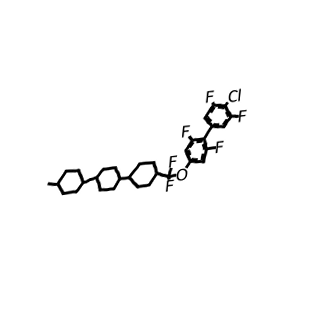 CC1CCC(C2CCC(C3CCC(C(F)(F)Oc4cc(F)c(-c5cc(F)c(Cl)c(F)c5)c(F)c4)CC3)CC2)CC1